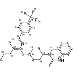 C=C1Nc2ccccc2CN1C1CCN(CC(/N=C(\C)c2ccc(C(F)(F)F)cc2)=C(/C)CCC)CC1